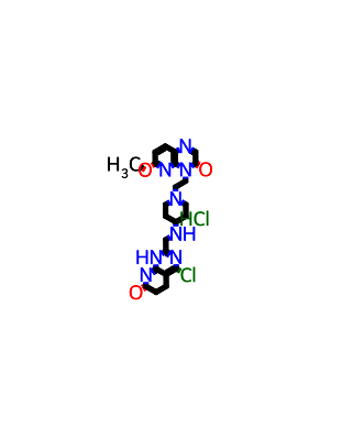 COc1ccc2ncc(=O)n(CCN3CCC(NCC4=NC(Cl)=C5CCC(=O)N=C5N4)CC3)c2n1.Cl